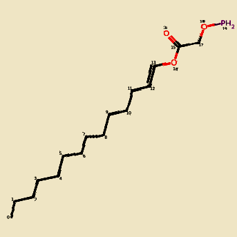 CCCCCCCCCCCCC=COC(=O)COP